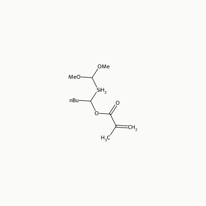 C=C(C)C(=O)OC(CCCC)[SiH2]C(OC)OC